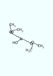 CCCCCCC1(CCCCCC)OCC(CCCCCCCCN(CCCCO)CCCCCCCCC2COC(CCCCCC)(CCCCCC)O2)O1